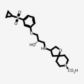 O=C(O)N1CCC2(CC1)CC(NC[C@H](O)COc1cccc(S(=O)(=O)C3CC3)c1)CO2